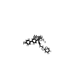 CC(O)(C#CCCOC1CCCCO1)c1ccc(-c2ccc(F)cc2)cc1.[Mg+2][Br]